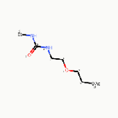 CCNC(=O)NCCOCCOC(C)=O